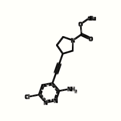 CC(C)(C)OC(=O)N1CCC(C#Cc2cc(Cl)nnc2N)C1